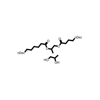 CC(O)CO.CCCCCCCCCCCCCCCC(=O)OC(C)COC(=O)CCCCCCCCCCCCC